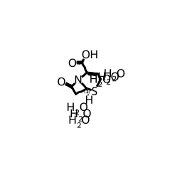 O.O.O.O.O.O.O=C(O)C1=CCS[C@H]2CC(=O)N12